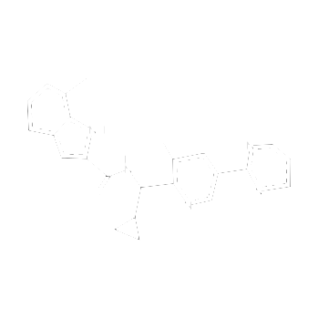 Cc1cc(-c2ncccn2)cnc1C(NC(=O)c1cc2cccc(C)c2[nH]1)C1CC1